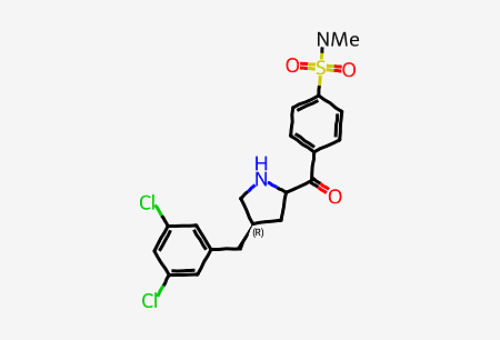 CNS(=O)(=O)c1ccc(C(=O)C2C[C@@H](Cc3cc(Cl)cc(Cl)c3)CN2)cc1